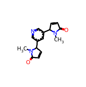 CN1C(=O)C=CC1c1cncc(C2C=CC(=O)N2C)c1